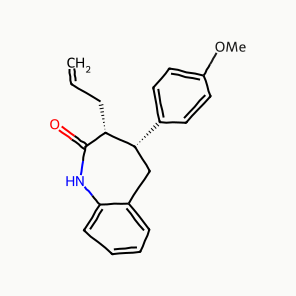 C=CC[C@H]1C(=O)Nc2ccccc2C[C@H]1c1ccc(OC)cc1